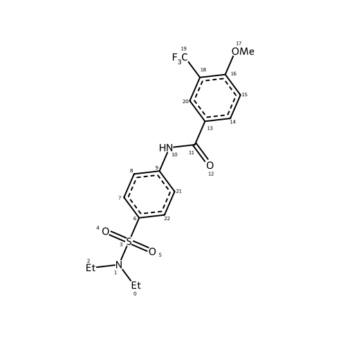 CCN(CC)S(=O)(=O)c1ccc(NC(=O)c2ccc(OC)c(C(F)(F)F)c2)cc1